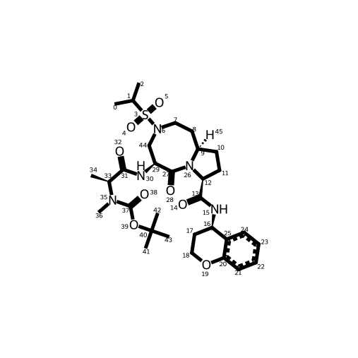 CC(C)S(=O)(=O)N1CC[C@H]2CC[C@@H](C(=O)N[C@@H]3CCOc4ccccc43)N2C(=O)[C@@H](NC(=O)[C@H](C)N(C)C(=O)OC(C)(C)C)C1